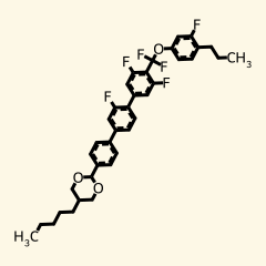 CCCCCC1COC(c2ccc(-c3ccc(-c4cc(F)c(C(F)(F)Oc5ccc(CCC)c(F)c5)c(F)c4)c(F)c3)cc2)OC1